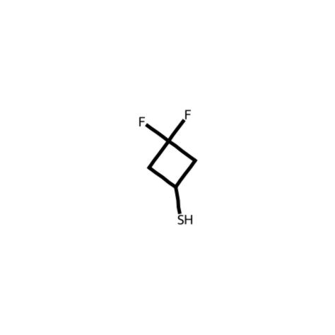 FC1(F)CC(S)C1